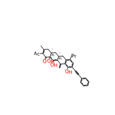 C=C1C2=C(O)[C@@]3(O)C(=O)C(C(C)=O)=C(C)C[C@@]3(C)C[C@@]2(C)Cc2c(C(C)C)cc(C#Cc3ccccc3)c(O)c21